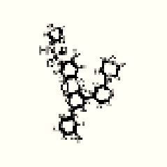 O=S(=O)(Nc1cscn1)c1cc(Cl)c(Oc2cnc(-c3cccc(F)c3)cc2-c2ccnc(N3CCOCC3)c2)cc1F